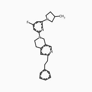 CC1CCN(c2cc(F)cc(N3CCc4cc(CCc5ccccc5)ncc4C3)n2)C1